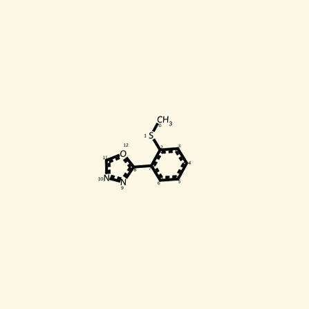 CSc1ccccc1-c1nnco1